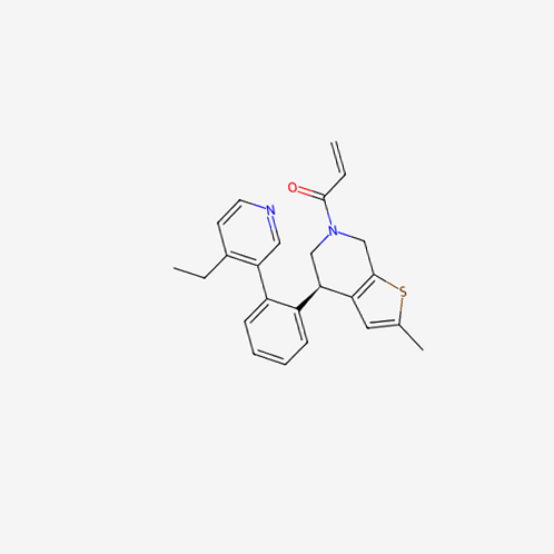 C=CC(=O)N1Cc2sc(C)cc2[C@@H](c2ccccc2-c2cnccc2CC)C1